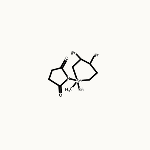 CC(C)C1CC[SH](C)(S)(N2C(=O)CCC2=O)CC1C(C)C